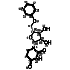 O=c1ccn([C@@H]2O[C@H](COc3cccnc3)[C@@H](O)[C@H]2O)c(=O)[nH]1